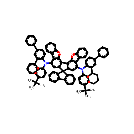 CC(C)(C)c1ccc(N(c2ccc(-c3ccccc3)cc2-c2ccccc2)c2cc3c(c4oc5ccccc5c24)-c2c(cc(N(c4ccc(C(C)(C)C)cc4)c4ccc(-c5ccccc5)cc4C4CCCCC4)c4c2oc2ccccc24)C32c3ccccc3-c3ccccc32)cc1